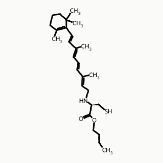 CCCCOC(=O)[C@H](CS)NC/C=C(C)/C=C/C=C(C)/C=C/C1=C(C)CCCC1(C)C